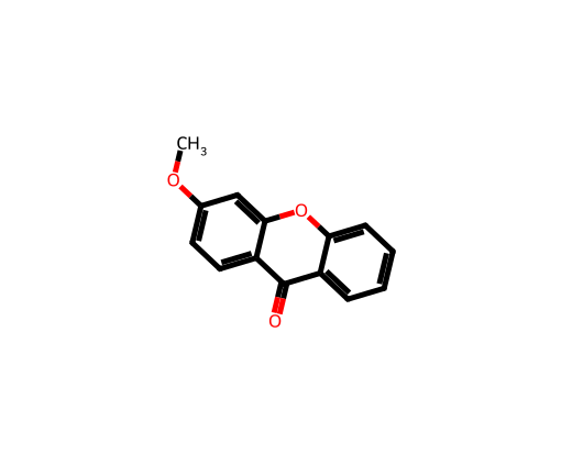 COc1ccc2c(=O)c3ccccc3oc2c1